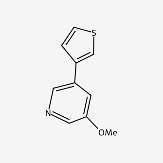 COc1cncc(-c2ccsc2)c1